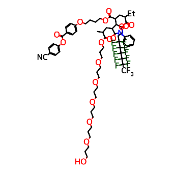 CCC(CC(C(=O)OCCCCOc1ccc(C(=O)Oc2ccc(C#N)cc2)cc1)C1C(=O)N(c2ccccc2)C(=O)C1CC(C)C(=O)OCCCOCCCOCCCOCCCOCCCOCCCO)C(=O)OCCC(F)(F)C(F)(F)C(F)(F)C(F)(F)C(F)(F)C(F)(F)F